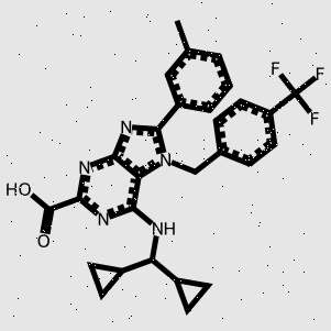 Cc1cccc(-c2nc3nc(C(=O)O)nc(NC(C4CC4)C4CC4)c3n2Cc2ccc(C(F)(F)F)cc2)c1